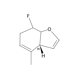 CC1=CCC(F)C2OC=C[C@H]12